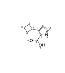 O=C(O)c1nocc1C1CCC1